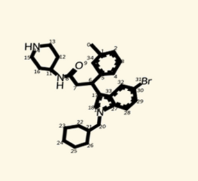 Cc1cccc(C(CC(=O)NC2CCNCC2)c2cn(CC3CCCCC3)c3ccc(Br)cc23)c1